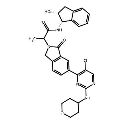 CC(C(=O)N[C@H]1c2ccccc2C[C@H]1O)N1Cc2ccc(-c3nc(NC4CCOCC4)ncc3Cl)cc2C1=O